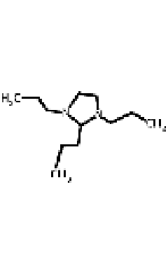 CCCC1N(CCC)CCN1CCC